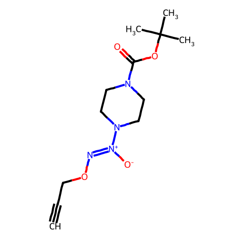 C#CCO/N=[N+](\[O-])N1CCN(C(=O)OC(C)(C)C)CC1